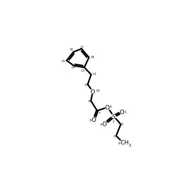 CCCS(=O)(=O)OC(=O)COCCc1ccccc1